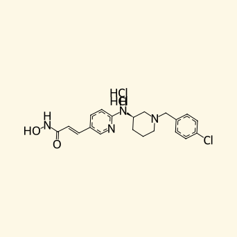 Cl.Cl.O=C(C=Cc1ccc(N[C@@H]2CCCN(Cc3ccc(Cl)cc3)C2)nc1)NO